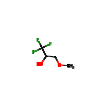 COCC(O)C(F)(F)F